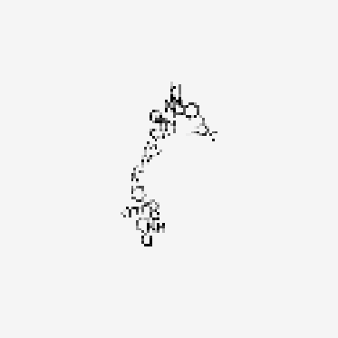 O=C1CCC(N2C(=O)c3ccc(CN4CC(N5CCN(c6ccc(C(=O)Nc7n[nH]c8ccc(Cc9cc(F)cc(F)c9)cc78)cc6)CC5)C4)cc3C2=O)C(=O)N1